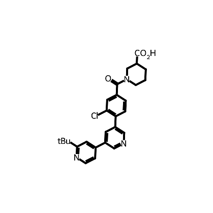 CC(C)(C)c1cc(-c2cncc(-c3ccc(C(=O)N4CCCC(C(=O)O)C4)cc3Cl)c2)ccn1